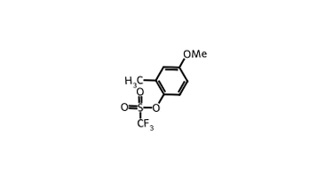 COc1ccc(OS(=O)(=O)C(F)(F)F)c(C)c1